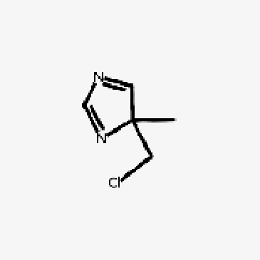 CC1(CCl)C=NC=N1